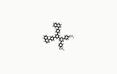 Cc1ccc(-c2nc(-c3ccc(C)cc3)nc(-c3cc(-c4ccc(-c5nccc6ccccc56)cc4)cc(-c4ccc(-c5nccc6ccccc56)cc4)c3)n2)cc1